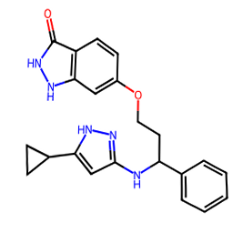 O=c1[nH][nH]c2cc(OCCC(Nc3cc(C4CC4)[nH]n3)c3ccccc3)ccc12